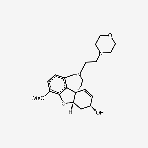 COc1ccc2c3c1O[C@H]1C[C@H](O)C=C[C@]31CCN(CCN1CCOCC1)C2